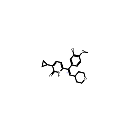 COc1ccc(/C(=C\C2CCOCC2)c2ccc(C3CC3)c(=O)[nH]2)cc1Cl